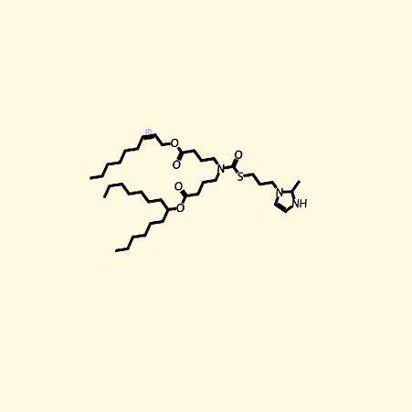 CCCCCC/C=C\COC(=O)CCCN(CCCC(=O)OC(CCCCCC)CCCCCCC)C(=O)SCCCN1C=CNC1C